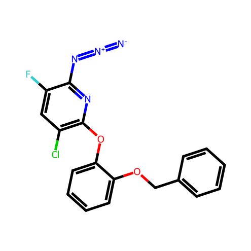 [N-]=[N+]=Nc1nc(Oc2ccccc2OCc2ccccc2)c(Cl)cc1F